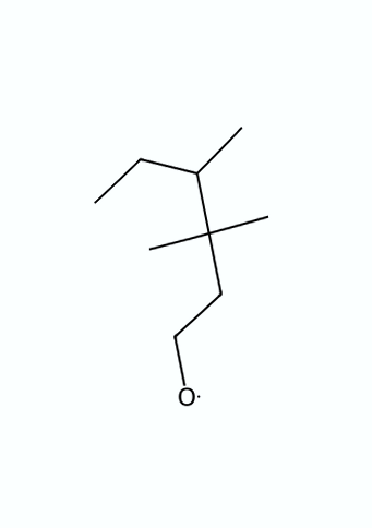 CCC(C)C(C)(C)CC[O]